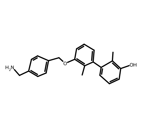 Cc1c(O)cccc1-c1cccc(OCc2ccc(CN)cc2)c1C